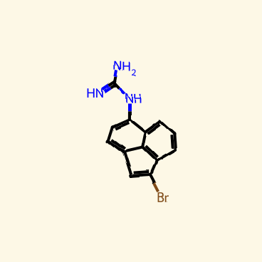 N=C(N)Nc1ccc2c3c(cccc13)C(Br)=C2